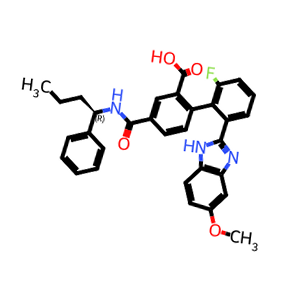 CCC[C@@H](NC(=O)c1ccc(-c2c(F)cccc2-c2nc3cc(OC)ccc3[nH]2)c(C(=O)O)c1)c1ccccc1